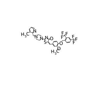 COc1cc(C=C2SC(N3CCN(Cc4ncccc4C)CC3)=NC2=O)ccc1OCc1ccc(C(F)(F)F)cc1C(F)(F)F